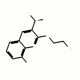 C[C@H](N)c1cc2cccc(Cl)c2nc1NCCO.Cl